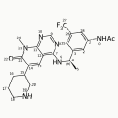 CC(=O)Nc1cc([C@@H](C)Nc2ncnc3c2cc(C2CCCNC2)c(=O)n3C)cc(C(F)(F)F)c1